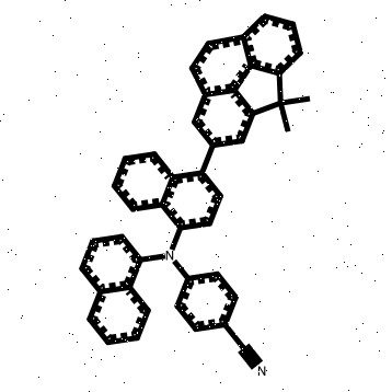 CC1(C)c2cccc3ccc4cc(-c5ccc(N(c6ccc(C#N)cc6)c6cccc7ccccc67)c6ccccc56)cc1c4c23